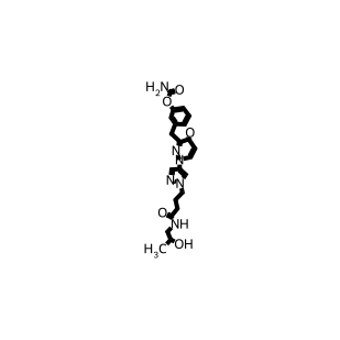 CC(O)CNC(=O)CCCn1cc(-n2ccc(=O)c(Cc3cccc(OC(N)=O)c3)n2)cn1